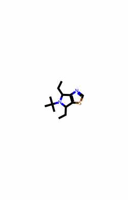 CCC1c2ncsc2C(CC)N1C(C)(C)C